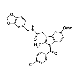 COc1ccc2c(c1)c(CC(=O)NCc1ccc3c(c1)OCO3)c(C)n2C(=O)c1ccc(Cl)cc1